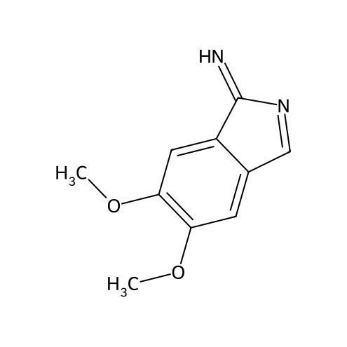 COc1cc2c(cc1OC)C(=N)N=C2